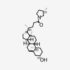 C[C@H]1CCN(C(=O)CC[C@@H](C)[C@H]2CC[C@H]3[C@@H]4CC=C5C[C@@H](O)CC[C@]5(C)[C@H]4CC[C@]23C)C1